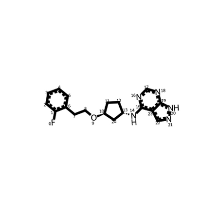 Fc1ccccc1CCO[C@H]1CC[C@H](Nc2ncnc3[nH]ncc23)C1